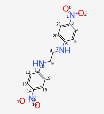 O=[N+]([O-])c1ccc(NCCNc2ccc([N+](=O)[O-])cc2)cc1